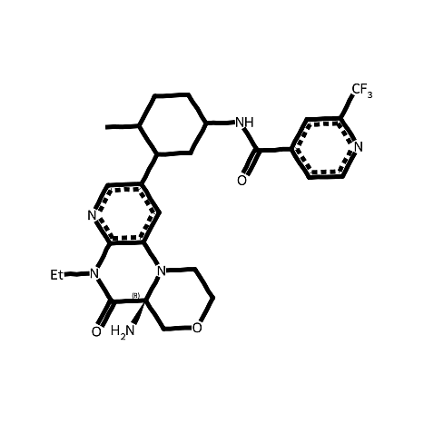 CCN1C(=O)[C@@]2(N)COCCN2c2cc(C3CC(NC(=O)c4ccnc(C(F)(F)F)c4)CCC3C)cnc21